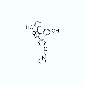 Oc1ccc(-c2c(-c3ccc(OCCN4CCCCC4)cc3)noc2-c2ccccc2O)cc1